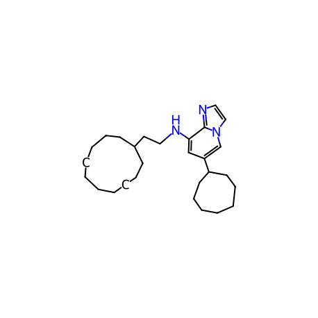 c1cn2cc(C3CCCCCCC3)cc(NCCC3CCCCCCCCCC3)c2n1